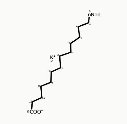 CCCCCCCCCCCCCCCCCCCCCC(=O)[O-].[K+]